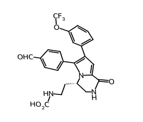 O=Cc1ccc(-c2c(-c3cccc(OC(F)(F)F)c3)cc3n2[C@@H](CCNC(=O)O)CNC3=O)cc1